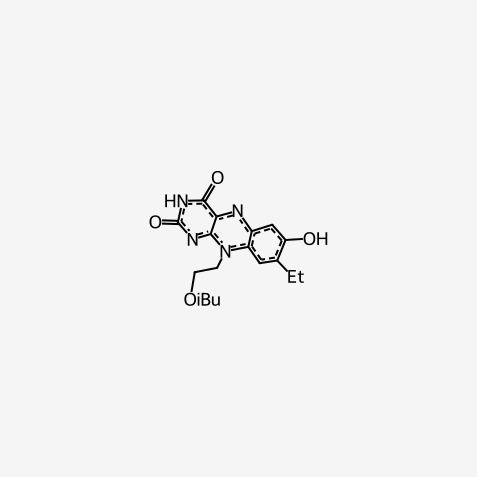 CCc1cc2c(cc1O)nc1c(=O)[nH]c(=O)nc-1n2CCOCC(C)C